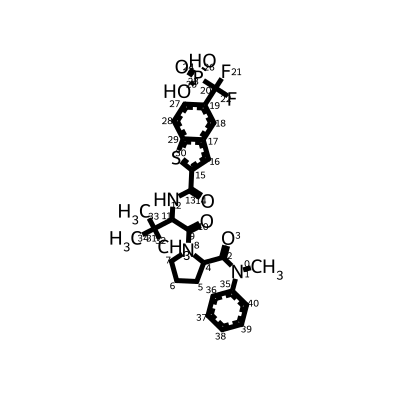 CN(C(=O)C1CCCN1C(=O)C(NC(=O)c1cc2cc(C(F)(F)P(=O)(O)O)ccc2s1)C(C)(C)C)c1ccccc1